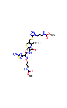 CC(C)(C)OC(=O)NCCCON=C(C(=O)NC1C(=O)N2C(C(=O)O)=C(CSc3nnnn3CCCNC(=O)OC(C)(C)C)CS[C@@H]12)c1nsc(N)n1